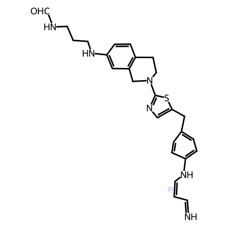 N=C/C=C\Nc1ccc(Cc2cnc(N3CCc4ccc(NCCCNC=O)cc4C3)s2)cc1